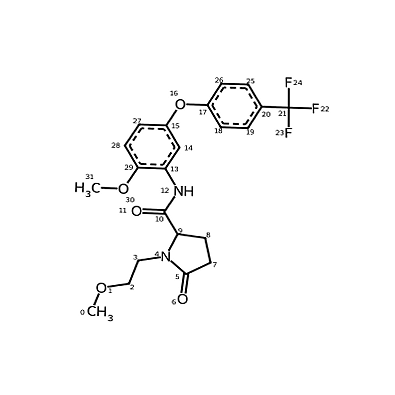 COCCN1C(=O)CCC1C(=O)Nc1cc(Oc2ccc(C(F)(F)F)cc2)ccc1OC